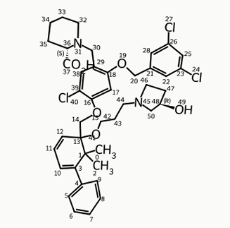 CC1(C)C(c2ccccc2)=CC=CC1(COc1cc(OCc2cc(Cl)cc(Cl)c2)c(CN2CCCC[C@H]2C(=O)O)cc1Cl)OCCCN1CC[C@@H](O)C1